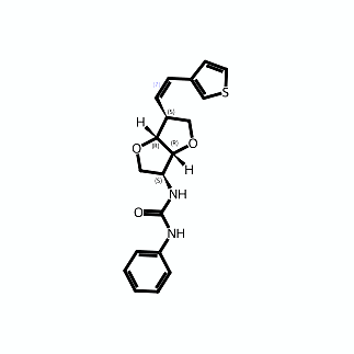 O=C(Nc1ccccc1)N[C@H]1CO[C@H]2[C@@H]1OC[C@@H]2/C=C\c1ccsc1